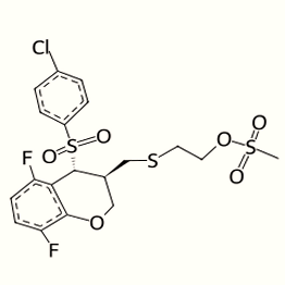 CS(=O)(=O)OCCSC[C@H]1COc2c(F)ccc(F)c2[C@@H]1S(=O)(=O)c1ccc(Cl)cc1